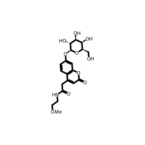 COCCNC(=O)Cc1cc(=O)oc2cc(O[C@@H]3O[C@H](CO)[C@H](O)[C@H](O)[C@H]3O)ccc12